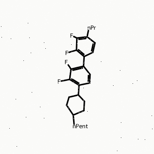 CCCCCC1CCC(c2ccc(-c3ccc(CCC)c(F)c3F)c(F)c2F)CC1